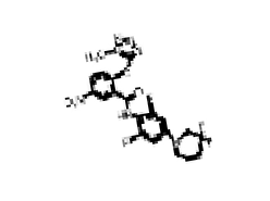 Cn1nnnc1Sc1ccc([N+](=O)[O-])cc1C(=O)Nc1c(F)cc(N2CCCC(F)(F)C2)cc1F